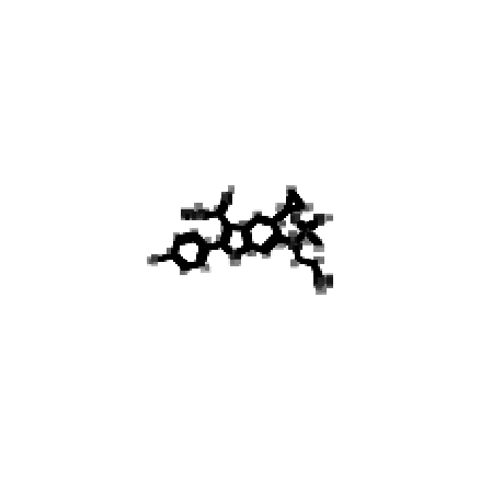 CNC(=O)c1c(-c2ccc(F)cc2)oc2cc([As](CCO)S(C)(=O)=O)c(C3CC3)cc12